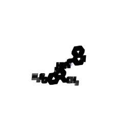 CCc1cc(N/N=C/c2ccnc3ccccc23)nc2cc(OC)ccc12